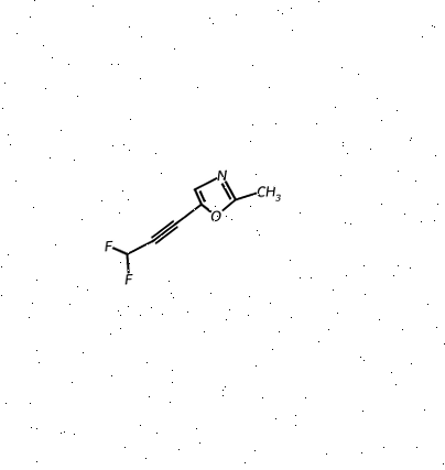 Cc1ncc(C#CC(F)F)o1